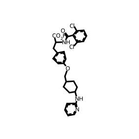 O=C(NC(Cc1ccc(OCC2CCC(Nc3ccccn3)CC2)cc1)C(=O)O)c1c(Cl)cccc1Cl